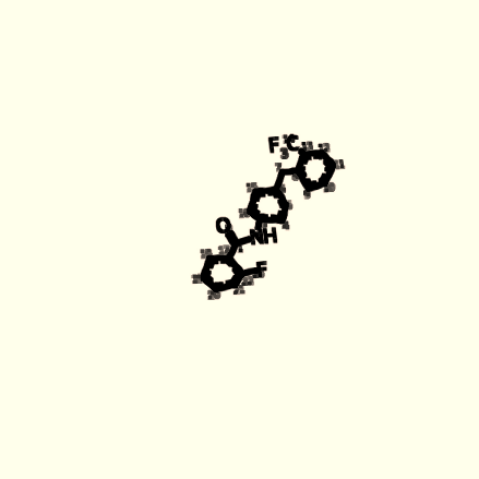 O=C(Nc1ccc(Cc2ccccc2C(F)(F)F)cc1)c1ccccc1F